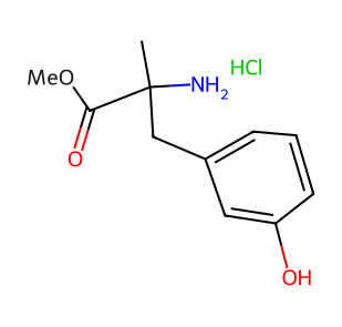 COC(=O)C(C)(N)Cc1cccc(O)c1.Cl